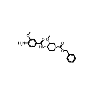 COc1cc(C(=O)N[C@@H]2CCN(C(=O)OCc3ccccc3)C[C@H]2OC)ccc1N